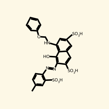 Cc1ccc(N=Nc2c(S(=O)(=O)O)cc3cc(S(=O)(=O)O)cc(NCOc4ccccc4)c3c2O)c(S(=O)(=O)O)c1